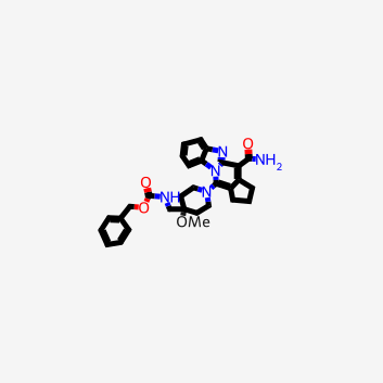 COC1(CNC(=O)OCc2ccccc2)CCN(c2c3c(c(C(N)=O)c4nc5ccccc5n24)CCC3)CC1